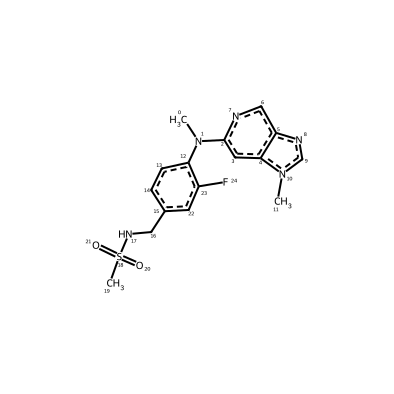 CN(c1cc2c(cn1)ncn2C)c1ccc(CNS(C)(=O)=O)cc1F